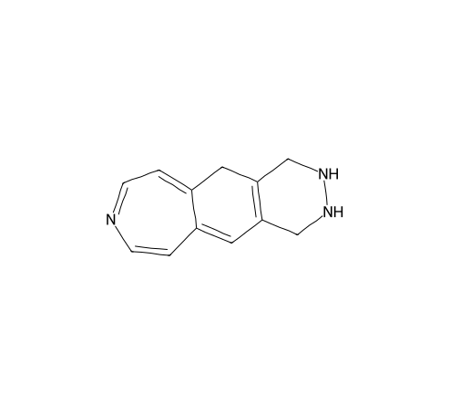 C1=CC2=CC3=C(CNNC3)CC2=CC=N1